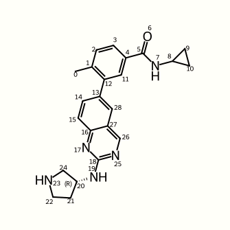 Cc1ccc(C(=O)NC2CC2)cc1-c1ccc2nc(N[C@@H]3CCNC3)ncc2c1